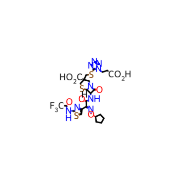 O=C(O)CCn1nnnc1SCC1(C(=O)O)CS[C@@H]2C(NC(=O)C(=NOC3CCCC3)c3csc(NC(=O)C(F)(F)F)n3)C(=O)N2C1